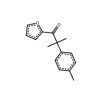 Cc1ccc(C(C)(C)C(=O)c2ccco2)cc1